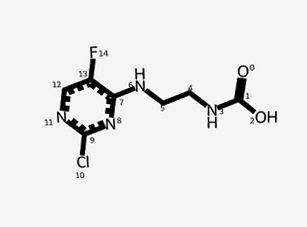 O=C(O)NCCNc1nc(Cl)ncc1F